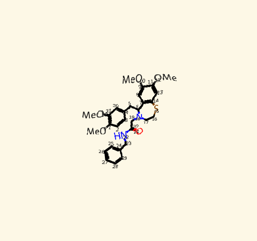 COc1ccc(CC2c3cc(OC)c(OC)cc3SCCN2CC(=O)NCc2ccccc2)cc1OC